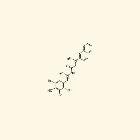 CCCN(CC(=O)N/[N+](=C/c1cc(Br)c(O)c(Br)c1O)CCC)c1ccc2ccccc2c1